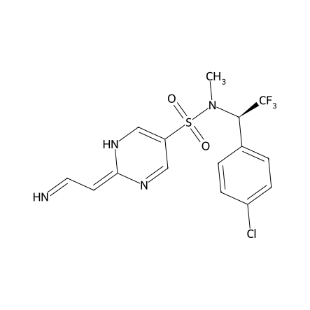 CN([C@H](c1ccc(Cl)cc1)C(F)(F)F)S(=O)(=O)C1=CN/C(=C\C=N)N=C1